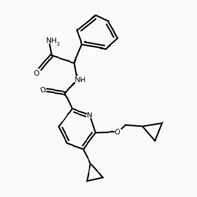 NC(=O)C(NC(=O)c1ccc(C2CC2)c(OCC2CC2)n1)c1ccccc1